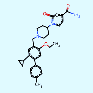 CCOc1cc(-c2ccc(C)cc2)c(C2CC2)cc1CN1CCC(n2ccc(C(N)=O)cc2=O)CC1